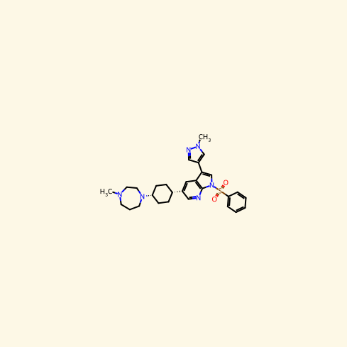 CN1CCCN([C@H]2CC[C@@H](c3cnc4c(c3)c(-c3cnn(C)c3)cn4S(=O)(=O)c3ccccc3)CC2)CC1